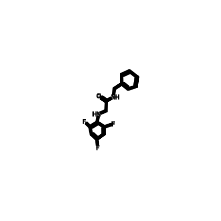 O=C(CNc1c(F)cc(F)cc1F)NCc1ccccc1